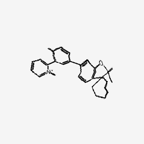 Cc1ccc(-c2ccc3c(c2)OC(C)(C)C32CCCCC2)cc1-c1cccc[n+]1C